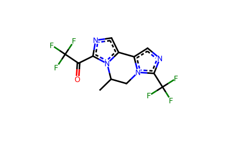 CC1Cn2c(cnc2C(F)(F)F)-c2cnc(C(=O)C(F)(F)F)n21